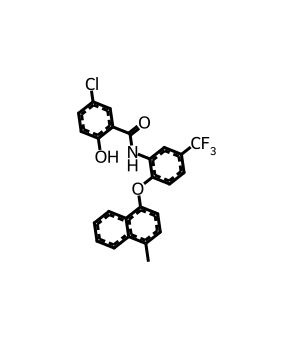 Cc1ccc(Oc2ccc(C(F)(F)F)cc2NC(=O)c2cc(Cl)ccc2O)c2ccccc12